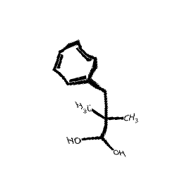 CC(C)(Cc1ccccc1)C(O)O